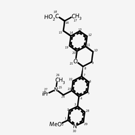 COc1cc(-c2ccc([C@@H]3CCc4ccc(CC(C)C(=O)O)cc4O3)cc2CN(C)C(C)C)ccn1